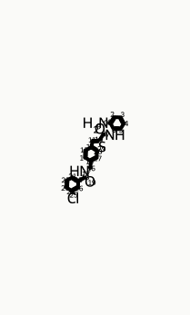 Nc1ccccc1NC(=O)c1cc2ccc(CNC(=O)c3cccc(Cl)c3)cc2s1